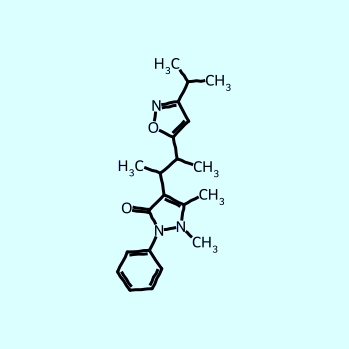 Cc1c(C(C)C(C)c2cc(C(C)C)no2)c(=O)n(-c2ccccc2)n1C